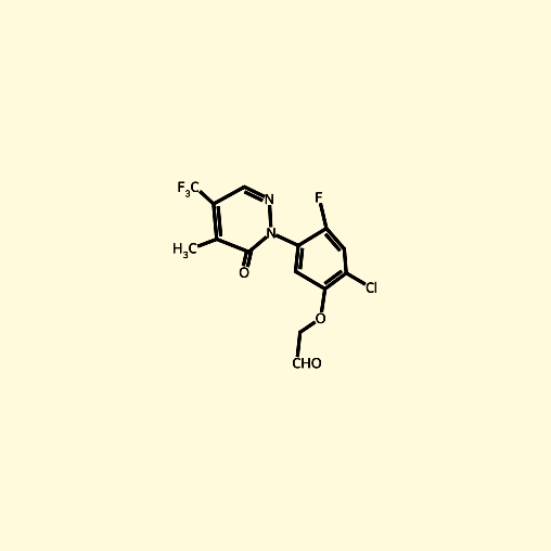 Cc1c(C(F)(F)F)cnn(-c2cc(OCC=O)c(Cl)cc2F)c1=O